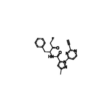 C#Cc1nccc(-n2nc(C)cc2C(=O)NC(Cc2ccccc2)C(=O)CF)n1